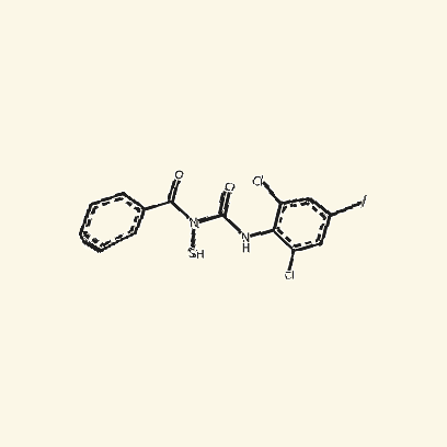 O=C(Nc1c(Cl)cc(I)cc1Cl)N(S)C(=O)c1ccccc1